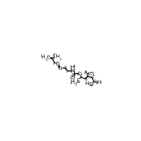 C=C(C)COOCCNC(=O)OC(C)CC(CC(O)CC)OC(C)=O